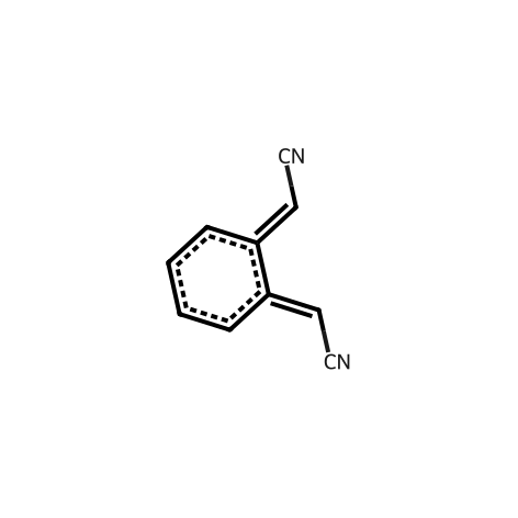 N#CC=c1ccccc1=CC#N